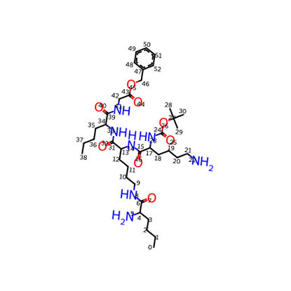 CCCCC(N)C(=O)NCCCCC(NC(=O)C(CCCCN)NC(=O)OC(C)(C)C)C(=O)NC(CCCC)C(=O)NCC(=O)OCc1ccccc1